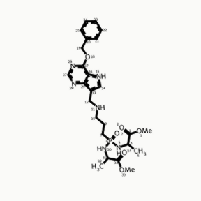 COC(=O)C(C)NP(=O)(CCCNCc1c[nH]c2c(OCc3ccccc3)ncnc12)NC(C)C(=O)OC